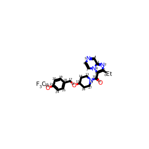 CCc1nc2cnccn2c1C(=O)N1CCC(OCc2ccc(OC(F)(F)F)cc2)CC1